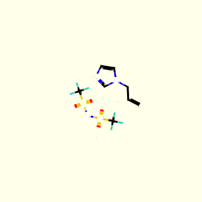 C=CCn1ccnc1.O=S(=O)(NS(=O)(=O)C(F)(F)F)C(F)(F)F